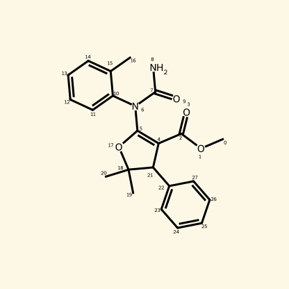 COC(=O)C1=C(N(C(N)=O)c2ccccc2C)OC(C)(C)C1c1ccccc1